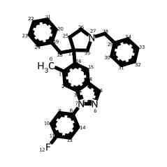 Cc1cc2c(cnn2-c2ccc(F)cc2)cc1C1(Cc2ccccc2)CCN(Cc2ccccc2)C1